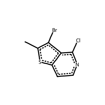 Cc1sc2ccnc(Cl)c2c1Br